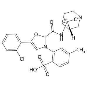 Cc1ccc(S(=O)(=O)O)c(N2C=C(c3ccccc3Cl)OC2C(=O)N[C@H]2CN3CCC2CC3)c1